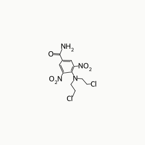 NC(=O)c1cc([N+](=O)[O-])c(N(CCCl)CCCl)c([N+](=O)[O-])c1